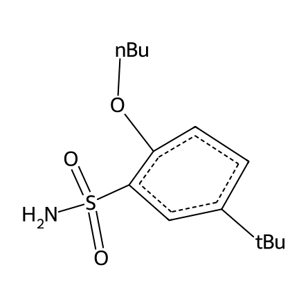 CCCCOc1ccc(C(C)(C)C)cc1S(N)(=O)=O